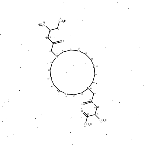 O=C(O)CC(NC(=O)CN1CCOCCOCCN(CC(=O)NC(C(=O)O)C(=O)C(=O)O)CCOCCOCC1)C(=O)O